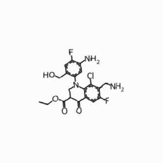 CCOC(=O)C1CN(c2cc(N)c(F)cc2CO)c2c(cc(F)c(CN)c2Cl)C1=O